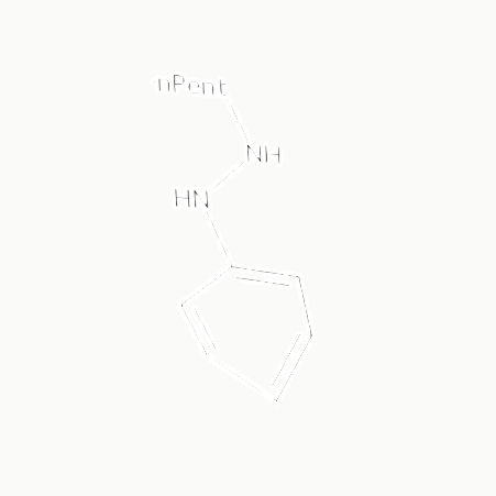 CCCC[CH]NNc1ccccc1